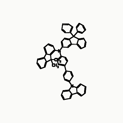 CC1(C)c2ccccc2-c2cccc(N(c3ccc(-c4ccc(-n5c6ccccc6c6ccccc65)cc4)cc3)c3ccc4c(c3)-c3ccccc3C4(c3ccccc3)c3ccccc3)c21